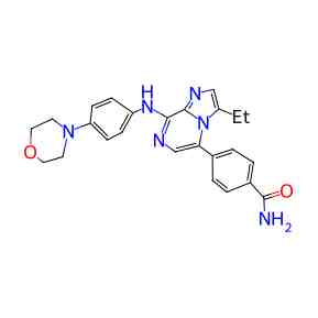 CCc1cnc2c(Nc3ccc(N4CCOCC4)cc3)ncc(-c3ccc(C(N)=O)cc3)n12